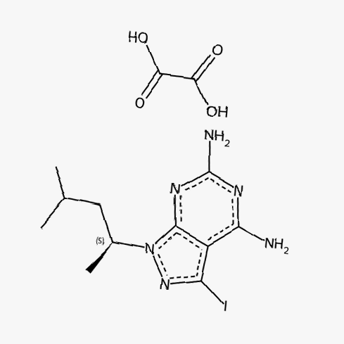 CC(C)C[C@H](C)n1nc(I)c2c(N)nc(N)nc21.O=C(O)C(=O)O